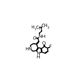 CN(C)CCNC(=O)C=C1CCNCc2[nH]c3c(c21)C(=O)C(F)C=C3